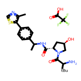 Cc1ncsc1-c1ccc(C(C)NC(=O)[C@@H]2C[C@@H](O)CN2C(=O)C(N)C(C)(C)C)cc1.O=C(O)C(F)(F)F